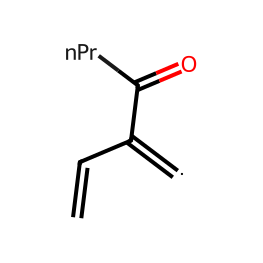 [CH]=C(C=C)C(=O)CCC